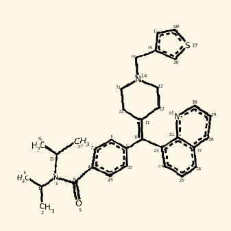 CC(C)N(C(=O)c1ccc(C(=C2CCN(Cc3ccsc3)CC2)c2cccc3cccnc23)cc1)C(C)C